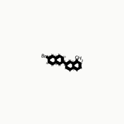 Cc1cccc2ccc(-c3ccc4cc(Br)ccc4c3)cc12